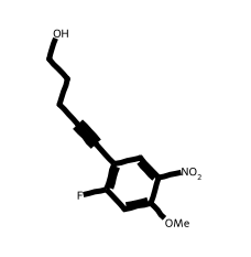 COc1cc(F)c(C#CCCCO)cc1[N+](=O)[O-]